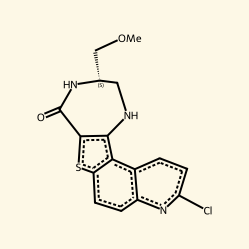 COC[C@@H]1CNc2c(sc3ccc4nc(Cl)ccc4c23)C(=O)N1